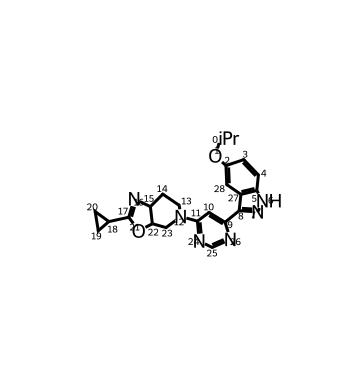 CC(C)Oc1ccc2[nH]nc(-c3cc(N4CCC5N=C(C6CC6)OC5C4)ncn3)c2c1